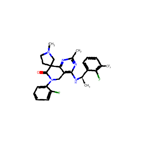 Cc1nc(N[C@H](C)c2cccc(C(F)(F)F)c2F)c2c(n1)C1(CCN(C)C1)C(=O)N(c1ccccc1F)C2